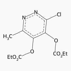 CCOC(=O)Oc1c(C)nnc(Cl)c1OC(=O)OCC